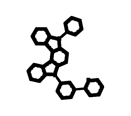 c1ccc(-n2c3ccccc3c3c4c5ccccc5n(-c5cccc(-c6ccccn6)c5)c4ccc32)cc1